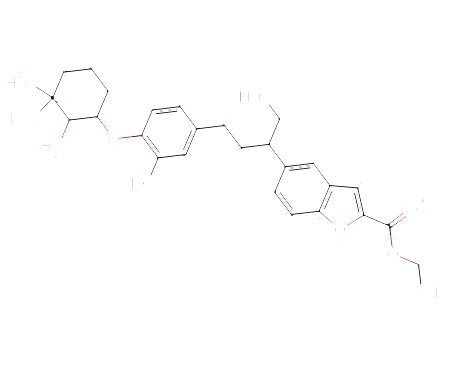 CCOC(=O)c1cc2cc(C(CC)CCc3ccc(OC4CCCC(C)(C)C4O)c(C)c3)ccc2o1